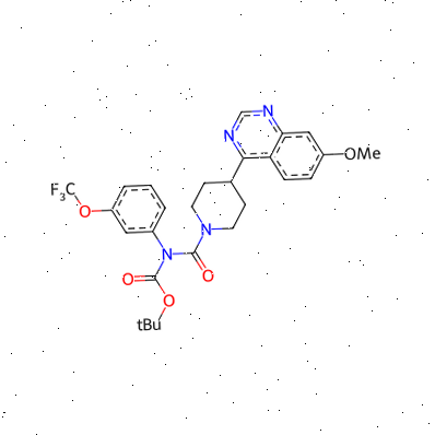 COc1ccc2c(C3CCN(C(=O)N(C(=O)OC(C)(C)C)c4cccc(OC(F)(F)F)c4)CC3)ncnc2c1